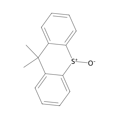 CC1(C)c2ccccc2[S+]([O-])c2ccccc21